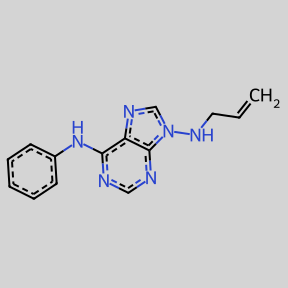 C=CCNn1cnc2c(Nc3ccccc3)ncnc21